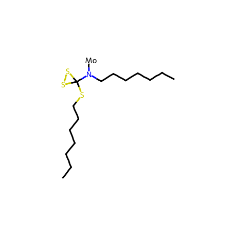 CCCCCCCSC1([N]([Mo])CCCCCCC)SS1